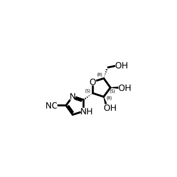 N#Cc1c[nH]c([C@@H]2O[C@H](CO)[C@@H](O)[C@H]2O)n1